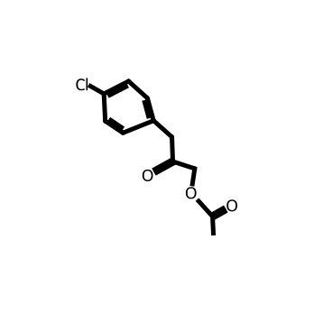 CC(=O)OCC(=O)Cc1ccc(Cl)cc1